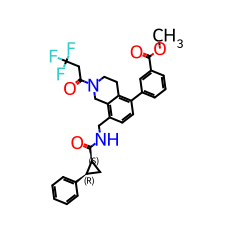 COC(=O)c1cccc(-c2ccc(CNC(=O)[C@H]3C[C@H]3c3ccccc3)c3c2CCN(C(=O)CC(F)(F)F)C3)c1